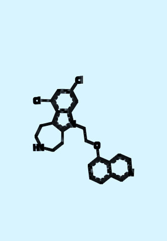 Clc1cc(Cl)c2c3c(n(CCOc4cccc5cnccc45)c2c1)CCNCC3